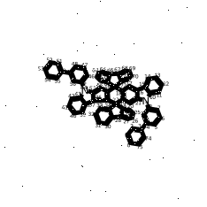 c1ccc(-c2cccc(-n3c4ccccc4c4cc5c(cc43)C3(c4ccccc4-c4ccccc43)c3cc4c6ccccc6n(-c6cccc(-c7ccccc7)c6)c4cc3C53c4ccccc4-c4ccccc43)c2)cc1